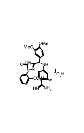 CC(=O)O.COc1ccc([C@H](Nc2ccc(C(=N)N)c(F)c2)c2nn(-c3ccccc3C(=O)O)c(=O)[nH]2)cc1OC